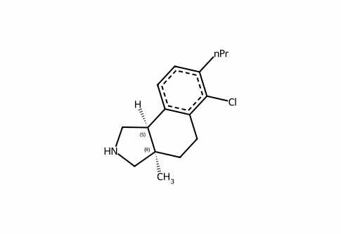 CCCc1ccc2c(c1Cl)CC[C@@]1(C)CNC[C@@H]21